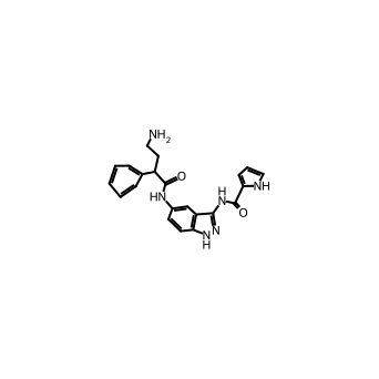 NCCC(C(=O)Nc1ccc2[nH]nc(NC(=O)c3ccc[nH]3)c2c1)c1ccccc1